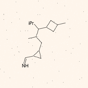 CC1CC(C(C(C)C)C(C)CC2CC2C=N)C1